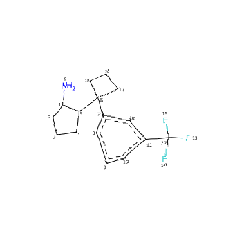 NC1CCCC1C1(c2cccc(C(F)(F)F)c2)CCC1